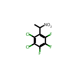 CC(c1c(F)c(F)c(F)c(Cl)c1Cl)[N+](=O)[O-]